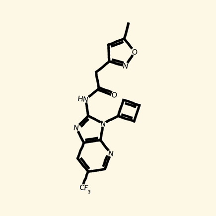 Cc1cc(CC(=O)Nc2nc3cc(C(F)(F)F)cnc3n2C2=CC=C2)no1